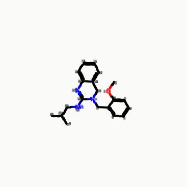 COc1ccccc1CN1Cc2ccccc2N=C1NCC(C)C